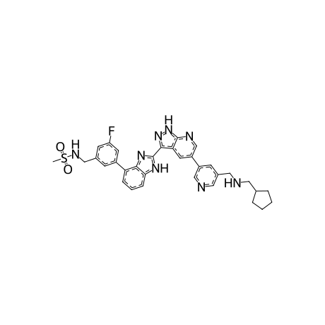 CS(=O)(=O)NCc1cc(F)cc(-c2cccc3[nH]c(-c4n[nH]c5ncc(-c6cncc(CNCC7CCCC7)c6)cc45)nc23)c1